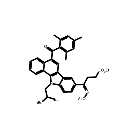 CCCCC(CC)Cn1c2ccc(/C(CCC(=O)OCC)=N\OC(C)=O)cc2c2cc(C(=O)c3c(C)cc(C)cc3C)c3ccccc3c21